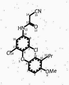 COc1ccc(Oc2c(Cl)cc(NC(=O)CC#N)cc2Cl)cc1C(C)C